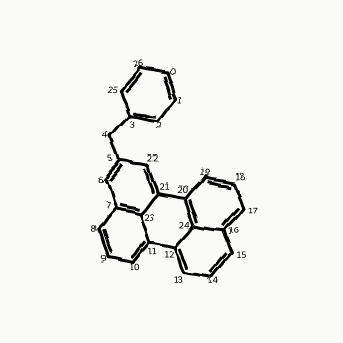 c1ccc(Cc2cc3cccc4c5cccc6cccc(c(c2)c34)c65)cc1